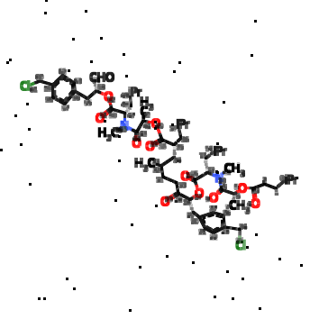 CC(C)CCC(=O)O[C@H](C)C(=O)N(C)[C@@H](CC(C)C)C(=O)O[C@H](Cc1ccc(CCl)cc1)C(=O)CCC(C)C[C@@H](CC(C)C)C(=O)O[C@H](C)C(=O)N(C)[C@@H](CC(C)C)C(=O)O[C@@H](C=O)Cc1ccc(CCl)cc1